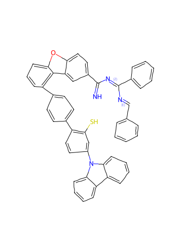 N=C(/N=C(\N=C\c1ccccc1)c1ccccc1)c1ccc2oc3cccc(-c4ccc(-c5ccc(-n6c7ccccc7c7ccccc76)cc5S)cc4)c3c2c1